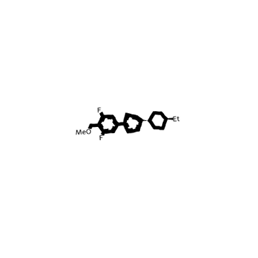 CC[C@H]1CC[C@H](c2ccc(-c3cc(F)c(COC)c(F)c3)cc2)CC1